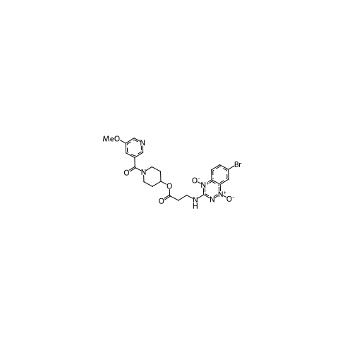 COc1cncc(C(=O)N2CCC(OC(=O)CCNc3n[n+]([O-])c4cc(Br)ccc4[n+]3[O-])CC2)c1